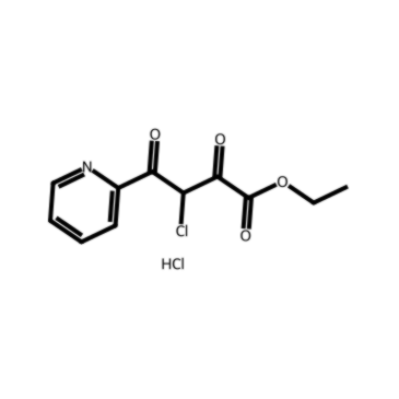 CCOC(=O)C(=O)C(Cl)C(=O)c1ccccn1.Cl